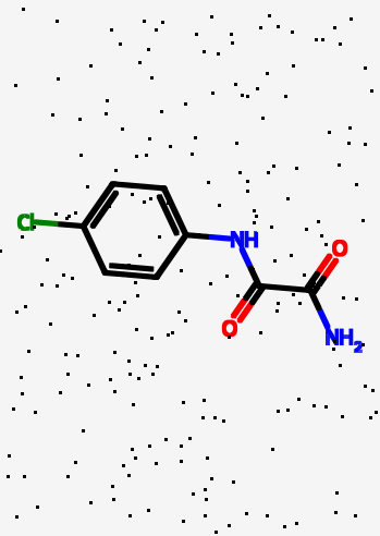 NC(=O)C(=O)Nc1ccc(Cl)cc1